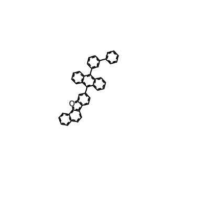 c1ccc(-c2cccc(-c3c4ccccc4c(-c4ccc5c(c4)oc4c6ccccc6ccc54)c4ccccc34)c2)cc1